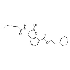 O=C(CCCC(F)(F)F)N[C@H]1Cc2cccc(C(=O)OCCC3CCCCC3)c2OB1O